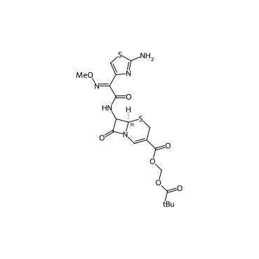 CON=C(C(=O)NC1C(=O)N2C=C(C(=O)OCOC(=O)C(C)(C)C)CS[C@H]12)c1csc(N)n1